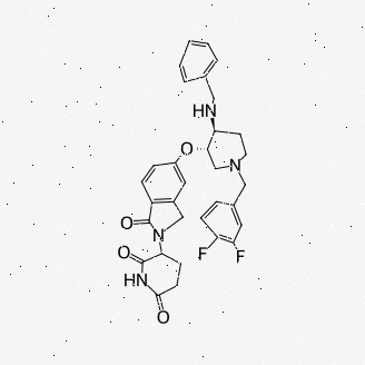 O=C1CCC(N2Cc3cc(O[C@H]4CN(Cc5ccc(F)c(F)c5)CC[C@@H]4NCc4ccccc4)ccc3C2=O)C(=O)N1